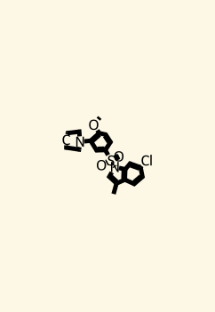 COc1ccc(S(=O)(=O)n2cc(C)c3ccc(Cl)cc32)cc1N1CCCCC1